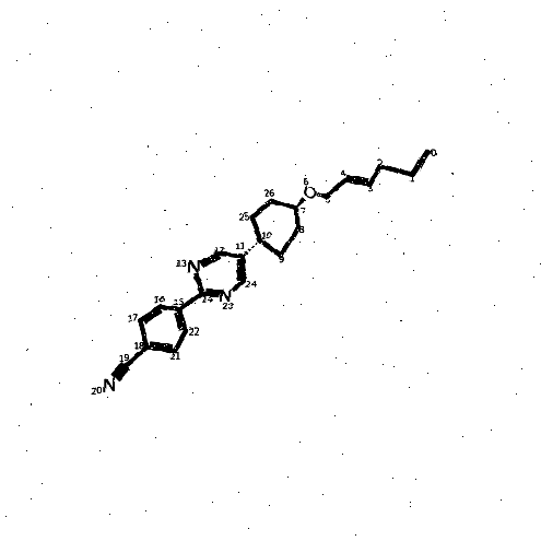 CCCC=CCO[C@H]1CC[C@H](c2cnc(-c3ccc(C#N)cc3)nc2)CC1